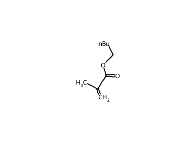 C=C(C)C(=O)OC[CH]CCC